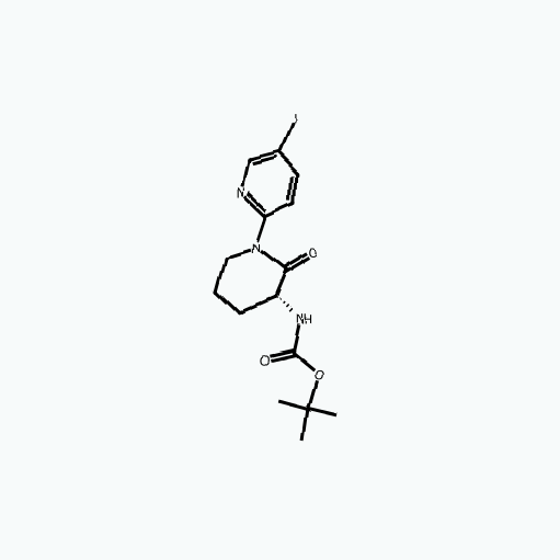 CC(C)(C)OC(=O)N[C@@H]1CCCN(c2ccc(I)cn2)C1=O